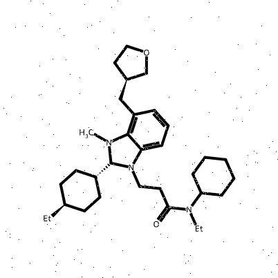 CCN(C(=O)CCN1c2cccc(C[C@H]3CCOC3)c2N(C)C1[C@H]1CC[C@H](CC)CC1)C1CCCCC1